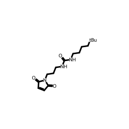 CC(C)(C)CCCCNC(=O)NCCCN1C(=O)C=CC1=O